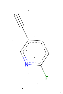 [C]#Cc1ccc(F)nc1